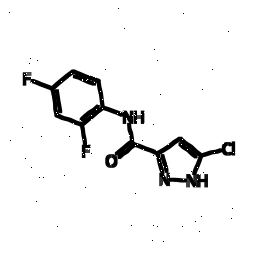 O=C(Nc1ccc(F)cc1F)c1cc(Cl)[nH]n1